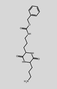 NCCCC1NC(=O)C(CCCNC(=O)OCc2ccccc2)NC1=O